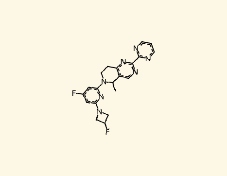 CC1c2cnc(-c3ncccn3)nc2CCN1c1cc(F)cc(N2CC(F)C2)n1